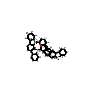 C1=CC2c3ccc4c(c3N(c3cccc(-c5ccc6sc7ccccc7c6c5)c3)C2C=C1)N(c1cccc(-c2ccccc2)n1)C1C=CC=CC41